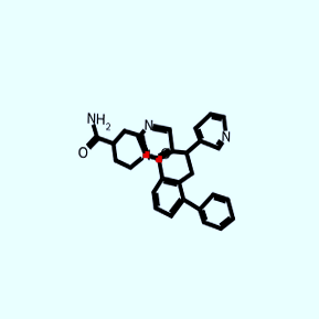 NC(=O)C1CCN(C(=O)c2cccc(-c3ccccc3)c2CC(c2cccnc2)c2cccnc2)CC1